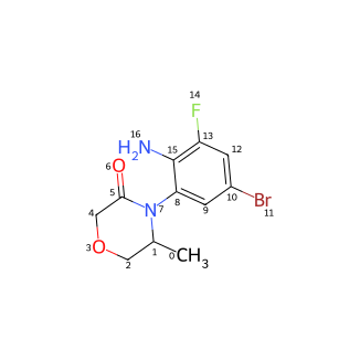 CC1COCC(=O)N1c1cc(Br)cc(F)c1N